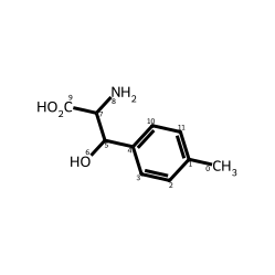 Cc1ccc(C(O)C(N)C(=O)O)cc1